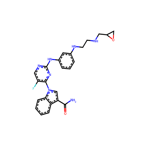 NC(=O)c1cn(-c2nc(Nc3cccc(NCCNCC4CO4)c3)ncc2F)c2ccccc12